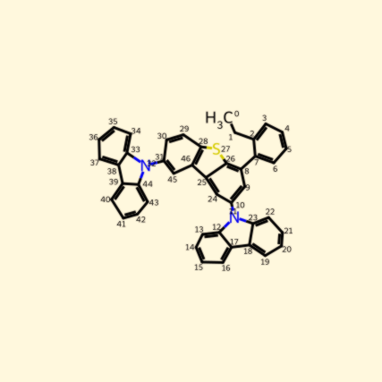 CCc1ccccc1-c1cc(-n2c3ccccc3c3ccccc32)cc2c1sc1ccc(-n3c4ccccc4c4ccccc43)cc12